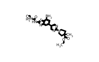 Bc1cc(-c2cnc(N3CCC(C)(C(=O)OCC)CC3)nc2)cc2nc(NC(=O)NCC)sc12